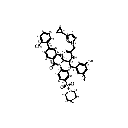 O=C(Cn1ccc(C2CC2)n1)NC(Cc1cc(F)cc(F)c1)c1nc2cc(-c3ccccc3Cl)ccc2c(=O)n1-c1ccc(S(=O)(=O)N2CCOCC2)cc1